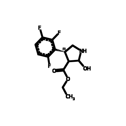 CCOC(=O)C1C(O)NC[C@H]1c1c(F)ccc(F)c1F